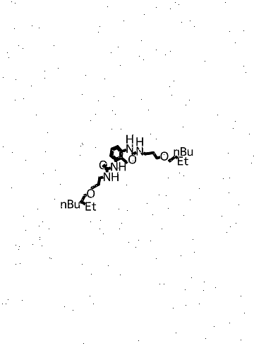 CCCCC(CC)COCCCNC(=O)Nc1cccc(NC(=O)NCCCOCC(CC)CCCC)c1C